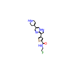 O=C(NCCF)c1cc(-c2cnn3cc(C4=CCNCC4)cnc23)cs1